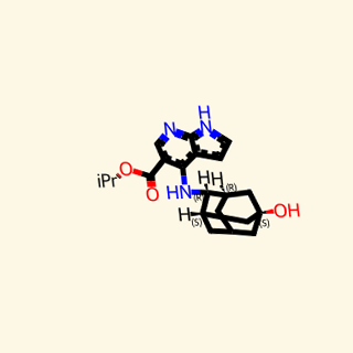 CC(C)OC(=O)c1cnc2[nH]ccc2c1N[C@H]1[C@@H]2CC3C[C@H]1C[C@@](O)(C3)C2